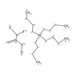 CCCC[N+](CCCC)(CCCC)CCCC.O=C(OCl)C(F)F